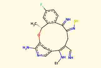 CCN/C1=C(\C=N)C/C(=N/S)C(=N)c2ccc(F)cc2[C@@H](C)Oc2cc1cnc2N